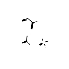 C=C(C)C.C=CC(N)=O.O=P(O)(O)O